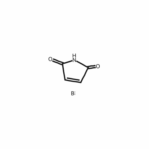 O=C1C=CC(=O)N1.[B]